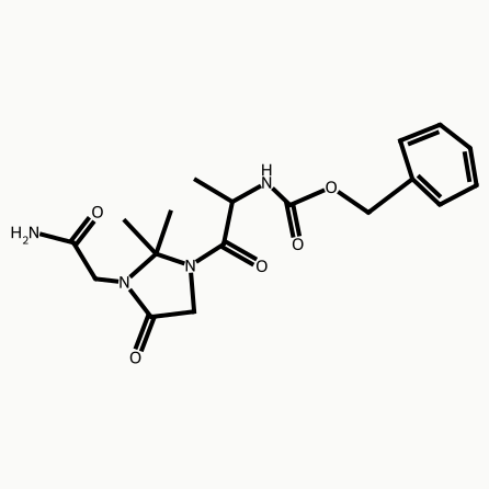 CC(NC(=O)OCc1ccccc1)C(=O)N1CC(=O)N(CC(N)=O)C1(C)C